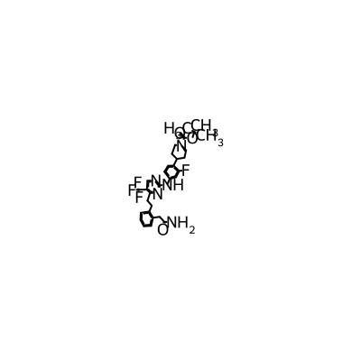 CC(C)(C)OC(=O)N1CCC(c2ccc(Nc3ncc(C(F)(F)F)c(CCc4ccccc4CC(N)=O)n3)cc2F)CC1